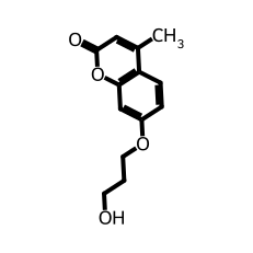 Cc1cc(=O)oc2cc(OCCCO)ccc12